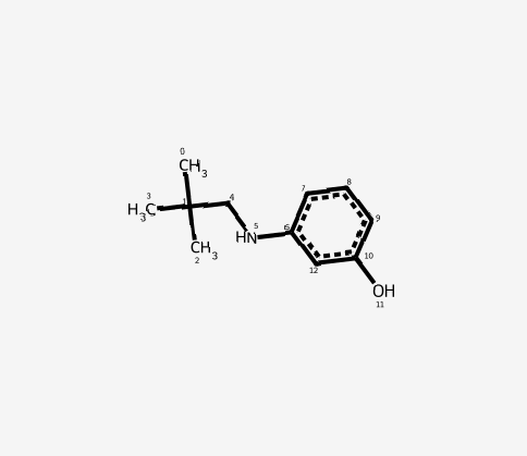 CC(C)(C)CNc1cccc(O)c1